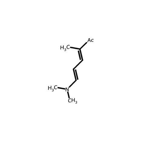 CC(=O)C(C)=CC=CN(C)C